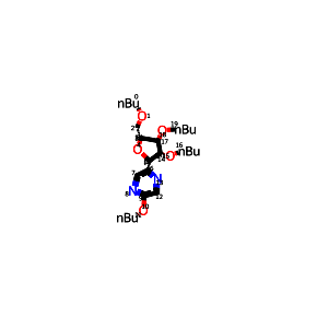 CCCCOC[C@H]1O[C@@H](c2cnc(OCCCC)cn2)[C@@H](OCCCC)C1OCCCC